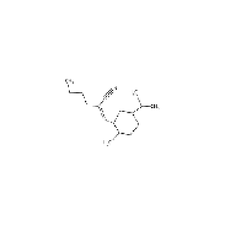 CCCCC(C#N)=CC1CC(C(C)C)CCC1C